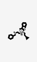 Cc1c(N(CCC2CC2)S(=O)(=O)CCN(C)Cc2ccccc2)sc2ccccc12